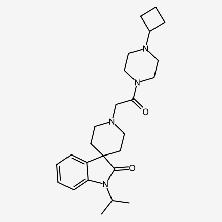 CC(C)N1C(=O)C2(CCN(CC(=O)N3CCN(C4CCC4)CC3)CC2)c2ccccc21